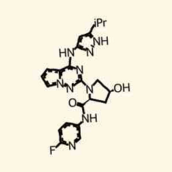 CC(C)c1cc(Nc2nc(N3C[C@@H](O)C[C@H]3C(=O)Nc3ccc(F)nc3)nn3cccc23)n[nH]1